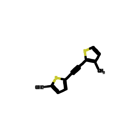 Cc1ccsc1C#Cc1ccc(C=O)s1